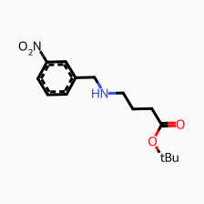 CC(C)(C)OC(=O)CCCNCc1cccc([N+](=O)[O-])c1